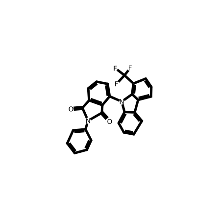 O=C1c2cccc(-n3c4ccccc4c4cccc(C(F)(F)F)c43)c2C(=O)N1c1ccccc1